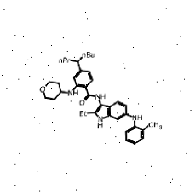 CCCCC(CCC)c1ccc(C(=O)Nc2c(CC)[nH]c3cc(Nc4ccccc4C)ccc23)c(NC2CCOCC2)c1